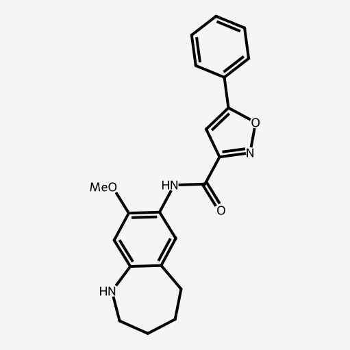 COc1cc2c(cc1NC(=O)c1cc(-c3ccccc3)on1)CCCCN2